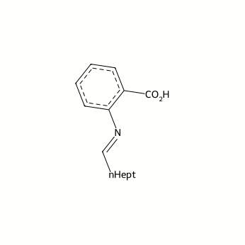 CCCCCCCC=Nc1ccccc1C(=O)O